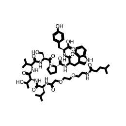 CC(C)CCC(=O)NCCOCCOCC(=O)N[C@@H](CC(C)C)C(=O)N[C@H](C(=O)N[C@H](C(=O)N[C@@H](CO)C(=O)N1CCC[C@H]1C(=O)NC(Cc1c[nH]c2ccccc12)C(=O)N[C@@H](Cc1ccc(O)cc1)C(=O)O)C(C)C)C(C)O